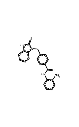 Nc1ccccc1NC(=O)c1ccc(Cn2c(=S)[nH]c3ccncc32)cc1